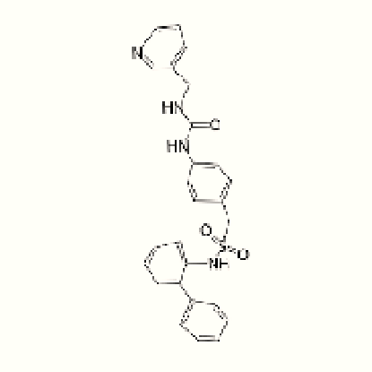 O=C(NCc1cccnc1)Nc1ccc(CS(=O)(=O)Nc2ccccc2-c2ccccc2)cc1